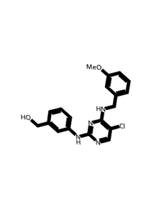 COc1cccc(CNc2nc(Nc3cccc(CO)c3)ncc2Cl)c1